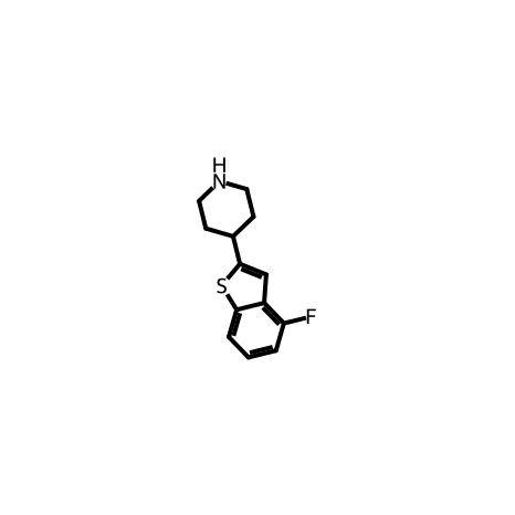 Fc1cccc2sc(C3CCNCC3)cc12